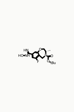 C[C@H]1COc2cc(C(=N)NO)cc(F)c2CN1C(=O)OC(C)(C)C